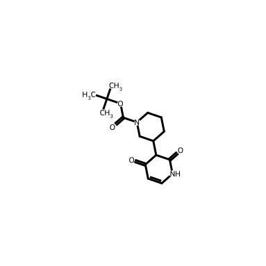 CC(C)(C)OC(=O)N1CCCC(C2C(=O)C=CNC2=O)C1